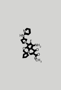 COC(=O)c1cn2c3c(c(N4CCC(Nc5ccccn5)C4)c(F)c(N)c3c1=O)OCC21CCCC1